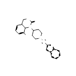 CC1=CC=CC2COC(=O)N(C3CCN(S(=O)(=O)c4cc5ccccc5s4)CC3)C12